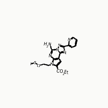 CCOC(=O)c1cc2c(nc(N)n3nc(-c4ccccn4)nc23)n1CCOSI